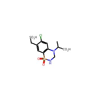 CC(C(=O)O)N1CNS(=O)(=O)c2cc(CS(=O)(=O)O)c(Cl)cc21